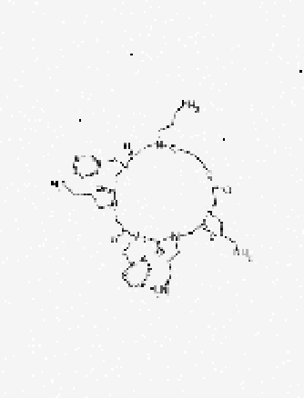 NCCCN1CCCCC(=O)CN(CCCN)C(=O)CN(CCCN)C(=O)CN(Cc2ccccc2)C(=O)CN(CCCN)C(=O)CN(Cc2ccccc2)C(=O)C1